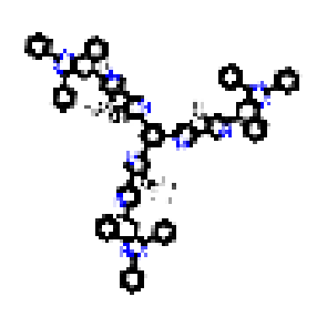 CC(Cc1c(-c2ccccc2)nc(-c2ccccc2)nc1-c1ccccc1)c1cc2c(cn1)-c1cnc(-c3cc(-c4cc5c(cn4)-c4cnc(C(C)Cc6c(-c7ccccc7)nc(-c7ccccc7)nc6-c6ccccc6)cc4[Si]5(C)C)cc(-c4cc5c(cn4)-c4cnc(C(C)Cc6c(-c7ccccc7)nc(-c7ccccc7)nc6-c6ccccc6)cc4[Si]5(C)C)c3)cc1[SiH2]2